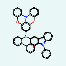 c1ccc(-c2ccccc2N(c2cc3c4c(c2)Oc2ccccc2N4c2ccccc2O3)c2ccc3c(c2)c2ccccc2n3-c2ccccc2)cc1